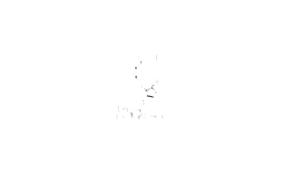 CCCCCC(CCC1=CC[C@H](O)[C@@H]1CCC=C=CCC(=O)O)O[Si](C)(C)C(C)(C)C